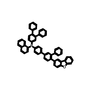 c1ccc(-c2ccc(N(c3ccc(-c4ccc(-c5ccc6oc7ccccc7c6c5)c(-c5ccccc5)c4)cc3)c3cccc4ccccc34)cc2-c2ccccc2)cc1